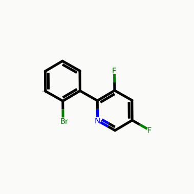 Fc1cnc(-c2ccc[c]c2Br)c(F)c1